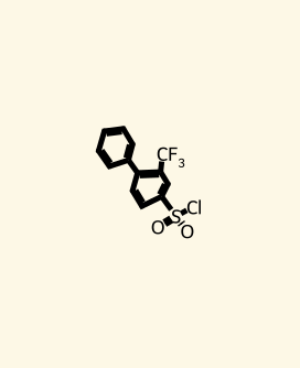 O=S(=O)(Cl)c1ccc(-c2ccccc2)c(C(F)(F)F)c1